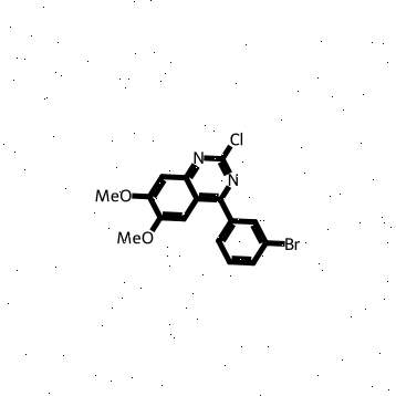 COc1cc2nc(Cl)nc(-c3cccc(Br)c3)c2cc1OC